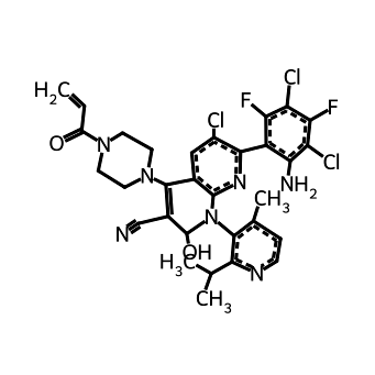 C=CC(=O)N1CCN(C2=C(C#N)C(O)N(c3c(C)ccnc3C(C)C)c3nc(-c4c(N)c(Cl)c(F)c(Cl)c4F)c(Cl)cc32)CC1